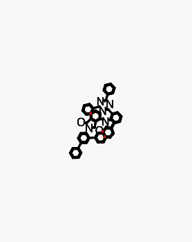 O=C1c2cccc(-n3c4ccccc4c4cccc(-c5nc(-c6ccccc6)nc(-c6ccccc6)n5)c43)c2C(=O)N1c1ccc(-c2ccccc2)cc1-c1ccccc1